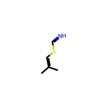 CC(C)=CSC=N